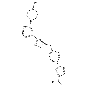 CC(C)N1CCN(c2cccc(-c3cn(Cc4ccc(-c5nnc(C(F)F)o5)cn4)nn3)c2)CC1